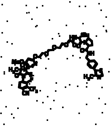 COc1cc(OCCOCCOCCOCC(=O)N[C@H](C(=O)N2CCC[C@H]2C(=O)NCc2ccc(-c3scnc3C)cc2)C(C)(C)C)ncc1N1C(=S)N(c2ccc(C#N)c(C(F)(F)F)c2F)C(=O)C1(C)C